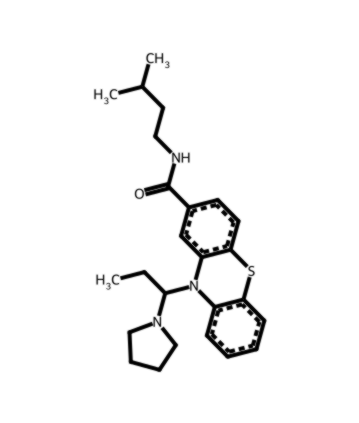 CCC(N1CCCC1)N1c2ccccc2Sc2ccc(C(=O)NCCC(C)C)cc21